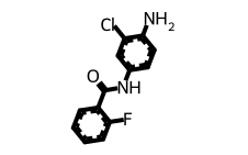 Nc1ccc(NC(=O)c2ccccc2F)cc1Cl